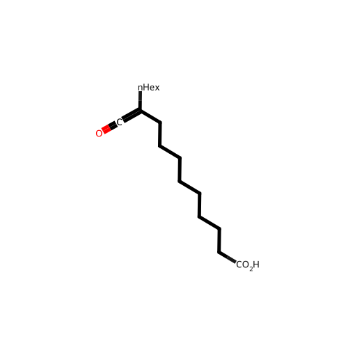 CCCCCCC(=C=O)CCCCCCCCC(=O)O